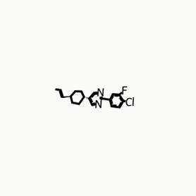 C/C=C/[C@H]1CC[C@H](c2cnc(-c3ccc(Cl)c(F)c3)nc2)CC1